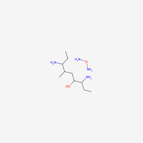 CCC(N)C(C)CC(O)C(N)CC.NON